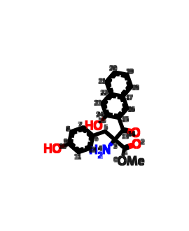 COC(=O)C(N)(Cc1ccc(O)cc1)C(=O)c1cc2ccccc2cc1O